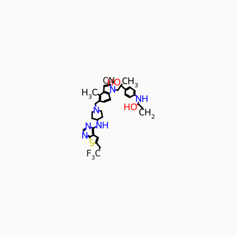 C=CC(O)Nc1ccc(C(C)(O)Cn2c(C#N)cc3c(C)c(CN4CCC(Nc5ncnc6sc(CC(F)(F)F)cc56)CC4)ccc32)cc1